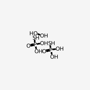 O=P(O)(O)S.O=P(O)(O)S.OO